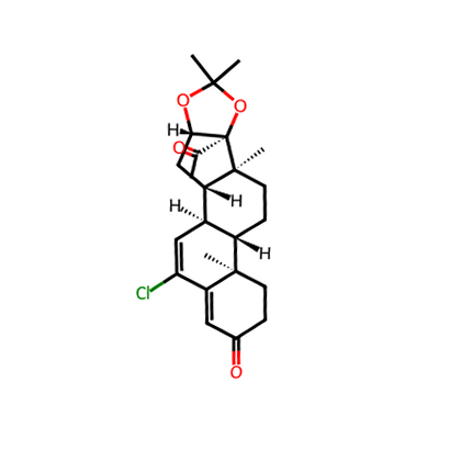 CC(=O)[C@@]12OC(C)(C)O[C@H]1C[C@H]1[C@@H]3C=C(Cl)C4=CC(=O)CC[C@]4(C)[C@H]3CC[C@@]12C